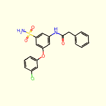 NS(=O)(=O)c1cc(NC(=O)Cc2ccccc2)cc(Oc2cccc(Cl)c2)c1